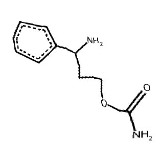 NC(=O)OCCC(N)c1ccccc1